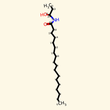 CCCCCCCCCCCCCCCCCC(=O)N[C](O)CC